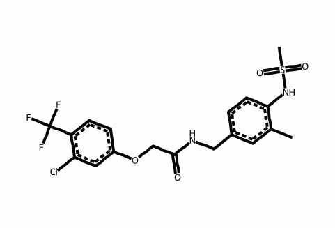 Cc1cc(CNC(=O)COc2ccc(C(F)(F)F)c(Cl)c2)ccc1NS(C)(=O)=O